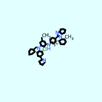 CCc1cc(Nc2ccc(-c3nc4ccccc4n3-c3c(C)cccc3C)cc2)c(Cl)c(N(Cc2ccccc2)c2ccc(-c3ccccn3)cc2)c1